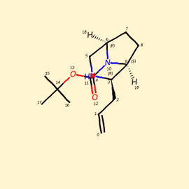 C=CC[C@H]1NC[C@H]2CC[C@@H]1N2C(=O)OC(C)(C)C